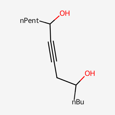 CCCCCC(O)C#CCC(O)CCCC